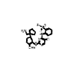 COc1ccc(C2(CN)CCCC2)cc1Nc1ncc(Cl)c(Nc2ccccc2S(=O)(=O)C(C)C)n1